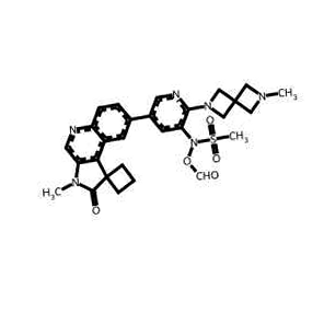 CN1CC2(C1)CN(c1ncc(-c3ccc4ncc5c(c4c3)C3(CCC3)C(=O)N5C)cc1N(OC=O)S(C)(=O)=O)C2